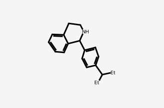 CC[C](CC)c1ccc(C2NCCc3ccccc32)cc1